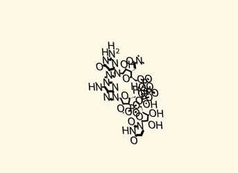 CNc1ncnc2c1ncn2[C@@H]1O[C@H](COP(=O)(O)OP(=O)(O)OP(=O)(O)OC[C@H]2OC(n3c[n+](C)c4c(=O)[nH]c(N)nc43)[C@H](O)[C@@H]2CC(=O)N(C)C)[C@@H](P(=O)([O-])OC[C@H]2O[C@@H](n3ccc(=O)[nH]c3=O)[C@H](O)[C@@H]2O)[C@H]1OC